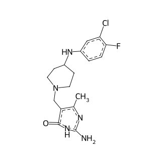 Cc1nc(N)[nH]c(=O)c1CN1CCC(Nc2ccc(F)c(Cl)c2)CC1